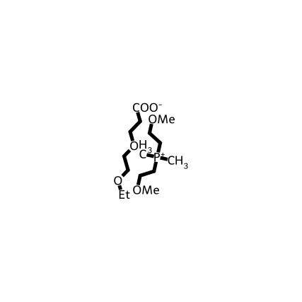 CCOCCOCCC(=O)[O-].COCC[P+](C)(C)CCOC